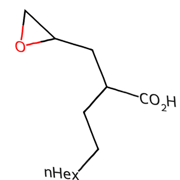 CCCCCCCCC(CC1CO1)C(=O)O